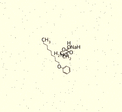 C=C.CCCCCCCCCOc1ccccc1.O=S(=O)(O)O.[NaH]